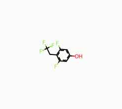 Oc1cc(F)c(CC(F)(F)F)c(F)c1